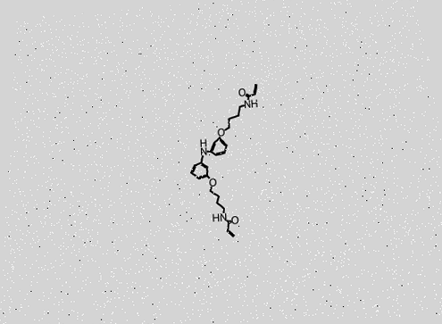 C=CC(=O)NCCCCOc1cccc(Nc2cccc(OCCCCNC(=O)C=C)c2)c1